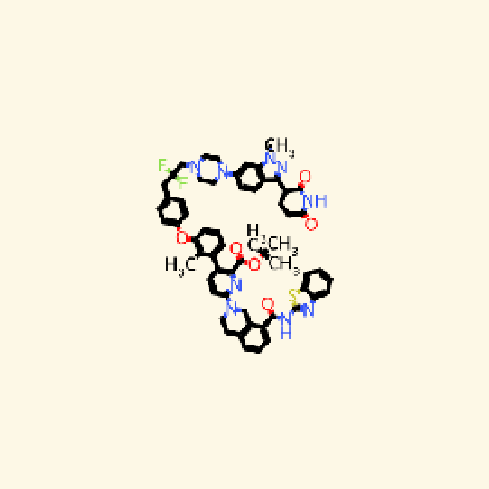 Cc1c(Oc2ccc(CC(F)(F)CN3CCN(c4ccc5c(C6CCC(=O)NC6=O)nn(C)c5c4)CC3)cc2)cccc1-c1ccc(N2CCc3cccc(C(=O)Nc4nc5ccccc5s4)c3C2)nc1C(=O)OC(C)(C)C